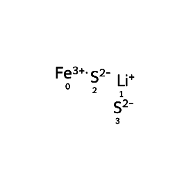 [Fe+3].[Li+].[S-2].[S-2]